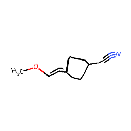 COC=C1CC(C#N)C1